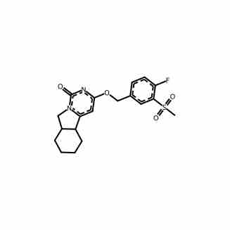 CS(=O)(=O)c1cc(COc2cc3n(c(=O)n2)CC2CCCCC32)ccc1F